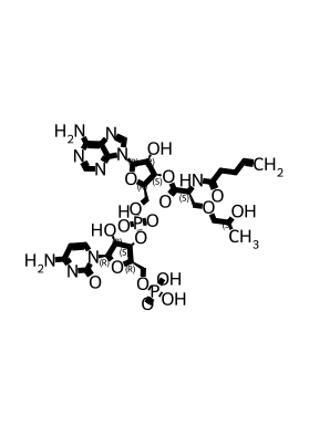 C=CCCC(=O)N[C@@H](COC[C@H](C)O)C(=O)O[C@H]1[C@@H](O)[C@H](n2cnc3c(N)ncnc32)O[C@@H]1COP(=O)(O)O[C@H]1[C@@H](O)[C@H](n2ccc(N)nc2=O)O[C@@H]1COP(=O)(O)O